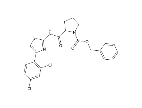 O=C(Nc1nc(-c2ccc(Cl)cc2Cl)cs1)C1CCCN1C(=O)OCc1ccccc1